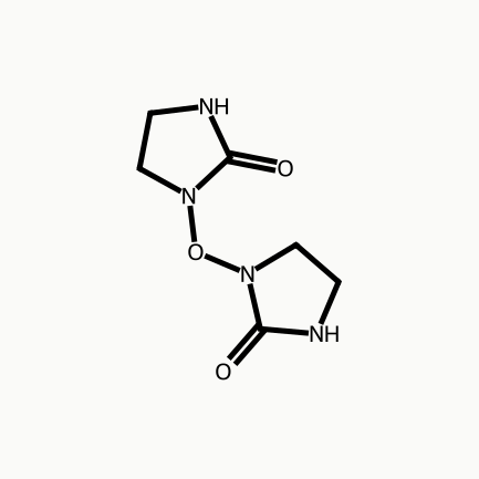 O=C1NCCN1ON1CCNC1=O